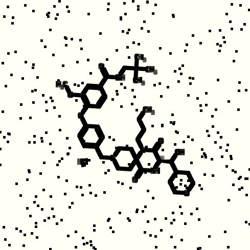 CCCCN1C(=O)[C@@H](C(O)C2CCOCC2)NC(=O)C12CCN(Cc1ccc(Oc3ccc(C(=O)NCC(C)(C)C)cc3OC)cc1)CC2.Cl